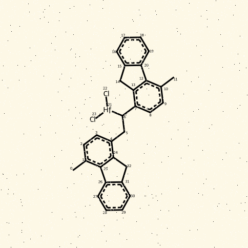 Cc1ccc(C[CH](c2ccc(C)c3c2Cc2ccccc2-3)[Hf]([Cl])[Cl])c2c1-c1ccccc1C2